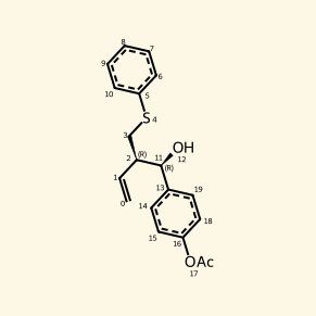 C=C[C@@H](CSc1ccccc1)[C@@H](O)c1ccc(OC(C)=O)cc1